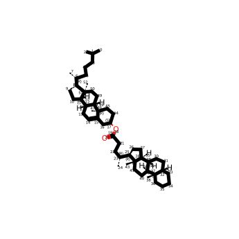 CC(C)CCC[C@@H](C)[C@H]1CC[C@H]2[C@@H]3CC=C4C[C@@H](OC(=O)CC[C@@H](C)[C@H]5CC[C@H]6[C@@H]7CC[C@@H]8CCCC[C@]8(C)[C@H]7CC[C@]56C)CC[C@]4(C)[C@H]3CC[C@]12C